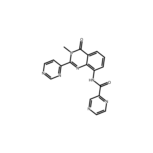 Cn1c(-c2ccncn2)nc2c(NC(=O)c3cnccn3)cccc2c1=O